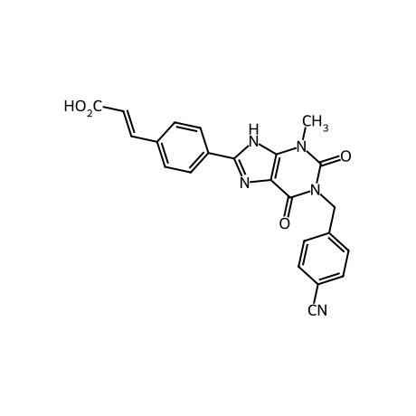 Cn1c(=O)n(Cc2ccc(C#N)cc2)c(=O)c2nc(-c3ccc(/C=C/C(=O)O)cc3)[nH]c21